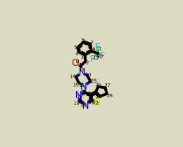 O=C(Cc1ccccc1C(F)(F)F)N1CCN(c2ncnc3sc4c(c23)CCC4)CC1